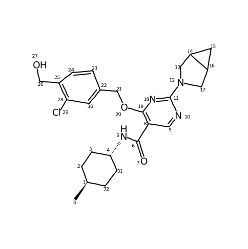 C[C@H]1CC[C@H](NC(=O)c2cnc(N3CC4CC4C3)nc2OCc2ccc(CO)c(Cl)c2)CC1